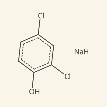 Oc1ccc(Cl)cc1Cl.[NaH]